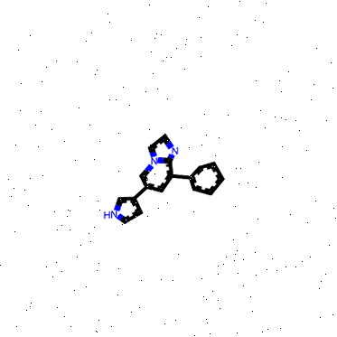 [c]1cn2cc(-c3cc[nH]c3)cc(-c3ccccc3)c2n1